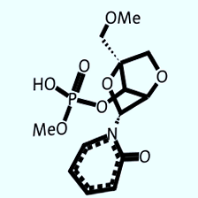 COC[C@]12COC(C1OP(=O)(O)OC)[C@H](n1ccccc1=O)O2